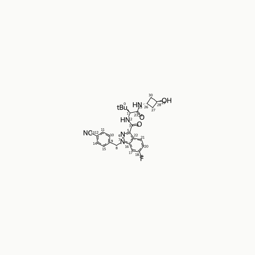 CC(C)(C)[C@H](NC(=O)c1nn(Cc2ccc(C#N)cc2)c2cc(F)ccc12)C(=O)N[C@H]1C[C@H](O)C1